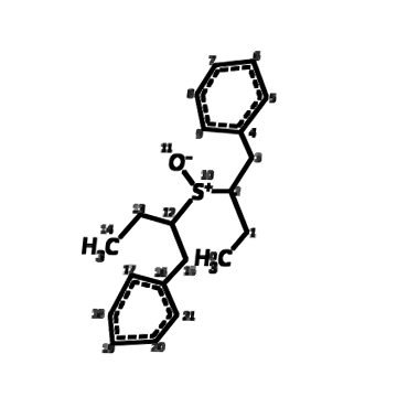 CCC(Cc1ccccc1)[S+]([O-])C(CC)Cc1ccccc1